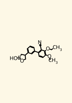 CCOc1c(OC)ccc(-c2cccc(C3COB(O)C3)c2)c1C#N